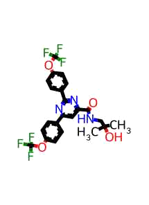 CC(C)(O)CNC(=O)c1cc(-c2ccc(OC(F)(F)F)cc2)nc(-c2ccc(OC(F)(F)F)cc2)n1